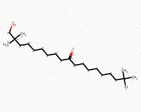 CCC(C)(C)CCCCCCCC(=O)CCCCCCCC(C)(C)CO